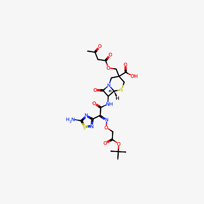 CC(=O)CC(=O)OCC1(C(=O)O)CS[C@@H]2C(NC(=O)C(=NOCC(=O)OC(C)(C)C)c3nsc(N)n3)C(=O)N2C1